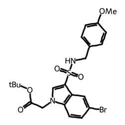 COc1ccc(CNS(=O)(=O)c2cn(CC(=O)OC(C)(C)C)c3ccc(Br)cc23)cc1